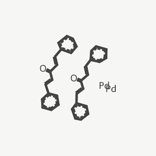 O=C(C=Cc1ccccc1)C=Cc1ccccc1.O=C(C=Cc1ccccc1)C=Cc1ccccc1.[Pd].[Pd]